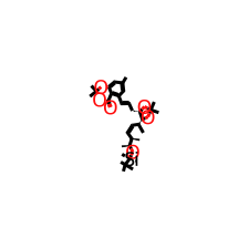 Cc1cc(/C=C/C[C@@H]2OC(C)(C)O[C@@H]2C(C)/C=C\[C@@H](C)[C@H](C)O[Si](C)(C)C(C)(C)C)c2c(c1)OC(C)(C)OC2=O